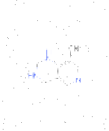 N#Cc1cncc2c1NCNC2